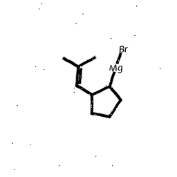 CC(C)=CC1CCC[CH]1[Mg][Br]